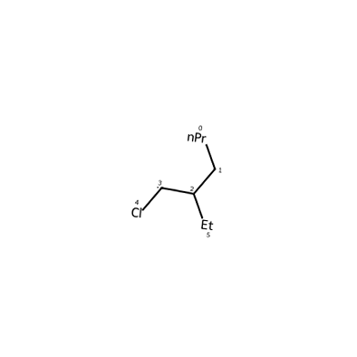 CCCCC([CH]Cl)CC